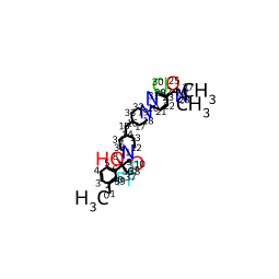 CCc1cccc(C(O)(C(=O)N2CCC(CC3CCN(c4ccc(C(=O)N(C)C)c(Cl)n4)CC3)CC2)C(F)(F)F)c1